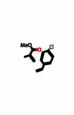 C=C(C)C(=O)OC.C=Cc1ccc(Cl)cc1